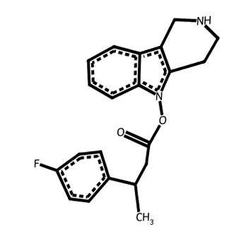 CC(CC(=O)On1c2c(c3ccccc31)CNCC2)c1ccc(F)cc1